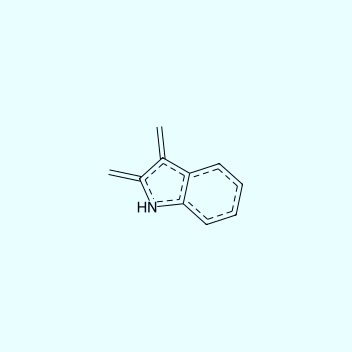 C=c1[nH]c2ccccc2c1=C